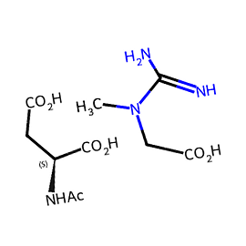 CC(=O)N[C@@H](CC(=O)O)C(=O)O.CN(CC(=O)O)C(=N)N